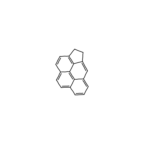 c1cc2ccc3ccc4c5c(cc(c1)c2c35)CC4